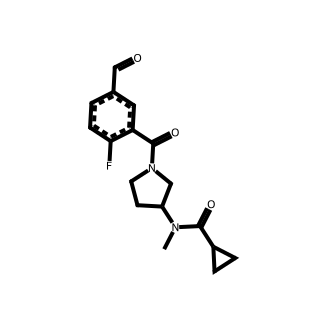 CN(C(=O)C1CC1)C1CCN(C(=O)c2cc(C=O)ccc2F)C1